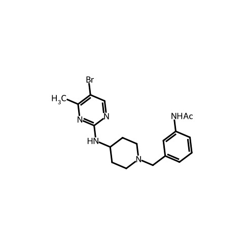 CC(=O)Nc1cccc(CN2CCC(Nc3ncc(Br)c(C)n3)CC2)c1